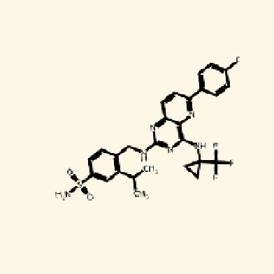 CC(C)c1cc(S(N)(=O)=O)ccc1CNc1nc(NC2(C(F)(F)F)CC2)c2nc(-c3ccc(F)cc3)ccc2n1